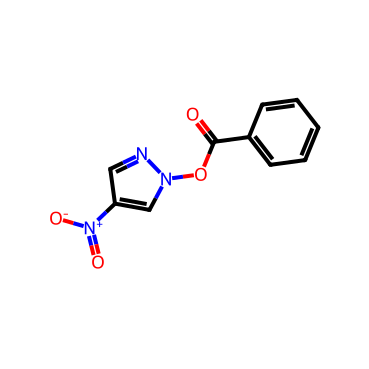 O=C(On1cc([N+](=O)[O-])cn1)c1ccccc1